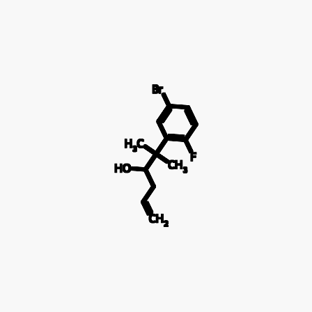 C=CCC(O)C(C)(C)c1cc(Br)ccc1F